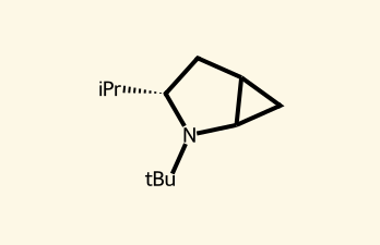 CC(C)[C@@H]1CC2CC2N1C(C)(C)C